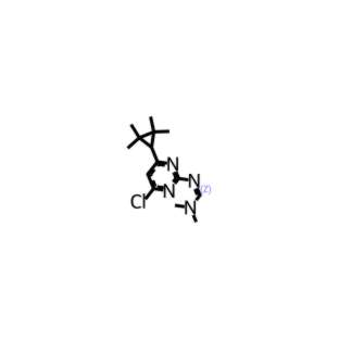 CN(C)/C=N\c1nc(Cl)cc(C2C(C)(C)C2(C)C)n1